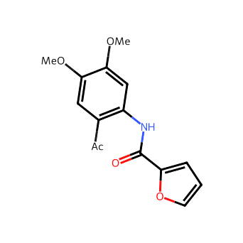 COc1cc(NC(=O)c2ccco2)c(C(C)=O)cc1OC